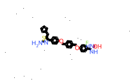 N=C(NO)c1ccc(OCc2ccc(COc3ccc(-c4nc(N)sc4CC4CCCC4)cc3)cc2)cc1F